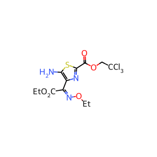 CCO/N=C(/C(=O)OCC)c1nc(C(=O)OCC(Cl)(Cl)Cl)sc1N